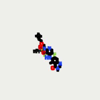 CCCS(=O)(=O)N(COCC[Si](C)(C)C)c1ncc(F)c(Nc2ccc3ncn(C)c(=O)c3c2C)c1F